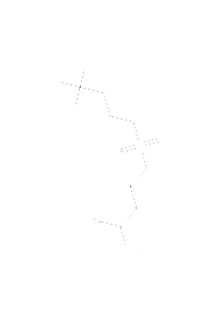 CC(N)CCCS(=O)(=O)CCCC(F)(F)F